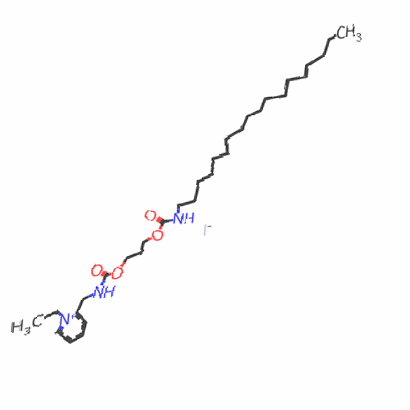 CCCCCCCCCCCCCCCCCCNC(=O)OCCCOC(=O)NCc1cccc[n+]1CC.[I-]